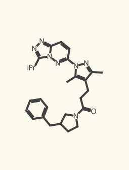 Cc1nn(-c2ccc3nnc(C(C)C)n3n2)c(C)c1CCC(=O)N1CCC(Cc2ccccc2)C1